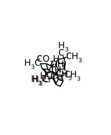 CC(=O)O.CC1=C2CC(CC1C1(C3C(C)=C4CC(C3O)C4(C)C)CC3CC(=C1C)C3(C)C)C2(C)C